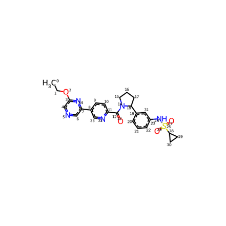 CCOc1cncc(-c2ccc(C(=O)N3CCCC3c3cccc(NS(=O)(=O)C4CC4)c3)nc2)n1